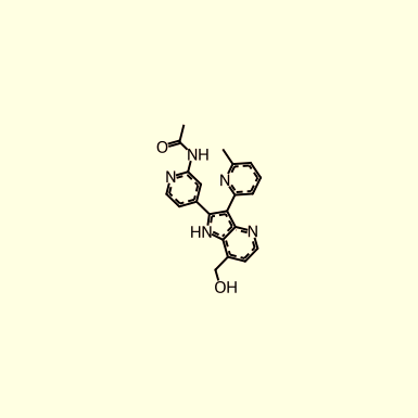 CC(=O)Nc1cc(-c2[nH]c3c(CO)ccnc3c2-c2cccc(C)n2)ccn1